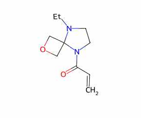 C=CC(=O)N1CCN(CC)C12COC2